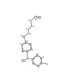 Cc1ccc(C(Cl)c2ccc(OCCCCC=O)cc2)cc1